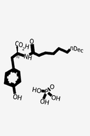 CCCCCCCCCCCCCCCC(=O)N[C@@H](Cc1ccc(O)cc1)C(=O)O.O=P(O)(O)O